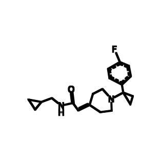 O=C(C=C1CCN(C2(c3ccc(F)cc3)CC2)CC1)NCC1CC1